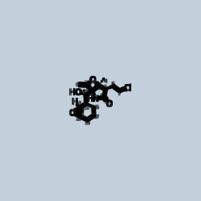 C=C1O[C@@]2(C)[C@@H](CCCl)C(=O)N[C@@]12[C@@H](O)[C@H]1CCC[C@@H]2O[C@H]12